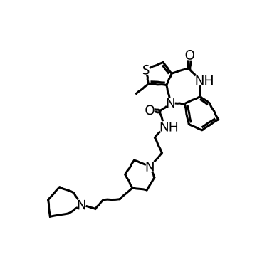 Cc1scc2c1N(C(=O)NCCN1CCC(CCCN3CCCCC3)CC1)c1ccccc1NC2=O